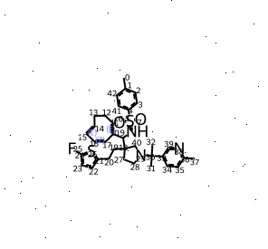 Cc1ccc(S(=O)(=O)NC(C2=C/CC/C=C/C=C\2)C2(CCc3ccc(F)s3)CCN(C(C)(C)c3ccc(C)nc3)C2)cc1